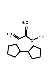 C1CCC(C2CCCC2)C1.C=CC(=O)OCCC.O